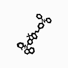 Cc1ccccc1N(c1ccc2c(c1)C(C)(C)c1cc(/C=C/c3ccc(N(c4ccccc4)c4ccccc4)cc3)ccc1-2)c1cccc2ccccc12